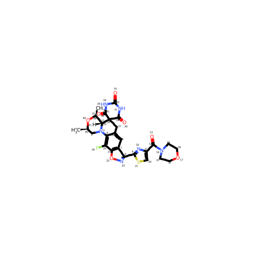 C[C@@H]1CN2c3c(cc4c(-c5nc(C(=O)N6CCOCC6)cs5)noc4c3F)CC3(C(=O)NC(=O)NC3=O)[C@H]2[C@H](C)O1